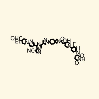 CCC1(C=O)CCN(c2ccc(-c3nc(-c4cnn(C5CCC6(CC5)CN(C(=O)CC5(O)CCN(c7ccc(NC8CCC(=O)NC8=O)cc7F)CC5)C6)c4)cn4ncc(C#N)c34)cn2)CC1